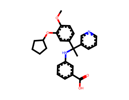 COc1ccc(C(C)(Nc2cccc(C(=O)O)c2)c2cccnc2)cc1OC1CCCC1